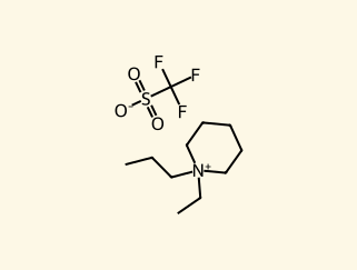 CCC[N+]1(CC)CCCCC1.O=S(=O)([O-])C(F)(F)F